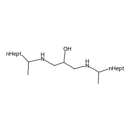 CCCCCCCC(C)NCC(O)CNC(C)CCCCCCC